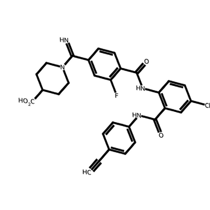 C#Cc1ccc(NC(=O)c2cc(Cl)ccc2NC(=O)c2ccc(C(=N)N3CCC(C(=O)O)CC3)cc2F)cc1